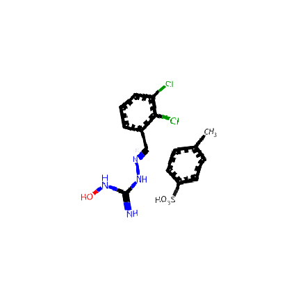 Cc1ccc(S(=O)(=O)O)cc1.N=C(NO)N/N=C/c1cccc(Cl)c1Cl